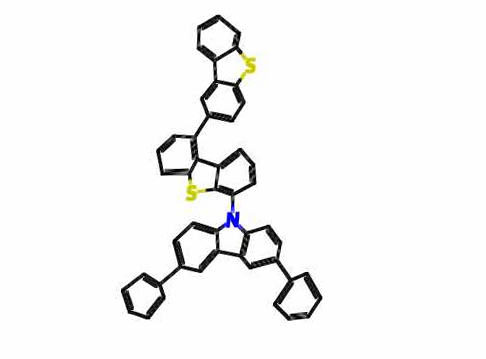 c1ccc(-c2ccc3c(c2)c2cc(-c4ccccc4)ccc2n3-c2cccc3c2sc2cccc(-c4ccc5sc6ccccc6c5c4)c23)cc1